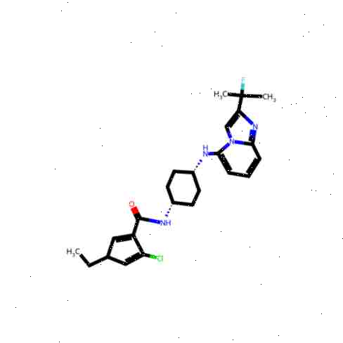 CCC1C=C(Cl)C(C(=O)N[C@H]2CC[C@@H](Nc3cccc4nc(C(C)(C)F)cn34)CC2)=C1